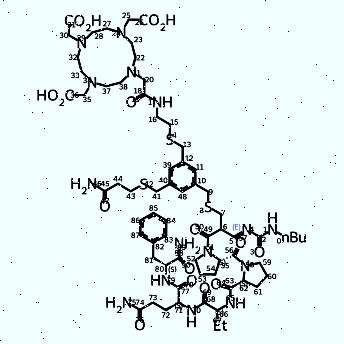 CCCCNC(=O)/N=C/C(CSCc1cc(CSCCNC(=O)CN2CCN(CC(=O)O)CCN(CC(=O)O)CCN(CC(=O)O)CC2)cc(CSCCC(N)=O)c1)C(=O)N1CCC[C@H]1C(=O)N1CCC[C@H]1C(=O)N[C@@H](CC)C(=O)N[C@@H](CCC(N)=O)C(=O)N[C@@H](Cc1ccccc1)C(N)=O